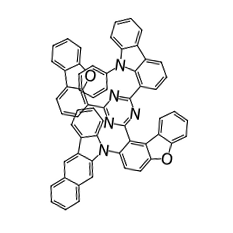 c1ccc(-n2c3ccccc3c3cccc(-c4nc(-c5cccc6c5oc5ccccc56)nc(-c5c(-n6c7ccccc7c7cc8ccccc8cc76)ccc6oc7ccccc7c56)n4)c32)cc1